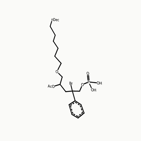 CCCCCCCCCCCCCCCCOCC(CC(Br)(COP(=O)(O)O)c1ccccc1)OC(C)=O